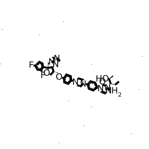 C=CN(C(=O)N(N)[C@@H](CC)[C@H](C)O)c1ccc(N2CCN(c3ccc(OC[C@@H]4CO[C@@](Cn5cncn5)(c5ccc(F)cc5F)C4)cc3)CC2)cc1